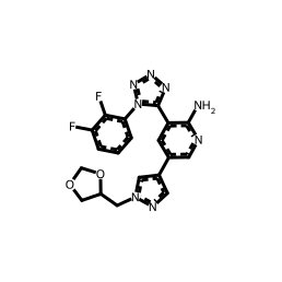 Nc1ncc(-c2cnn(CC3COCO3)c2)cc1-c1nnnn1-c1cccc(F)c1F